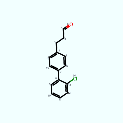 O=CCCc1ccc(-c2ccccc2Cl)cc1